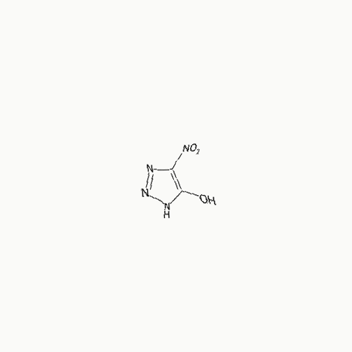 O=[N+]([O-])c1nn[nH]c1O